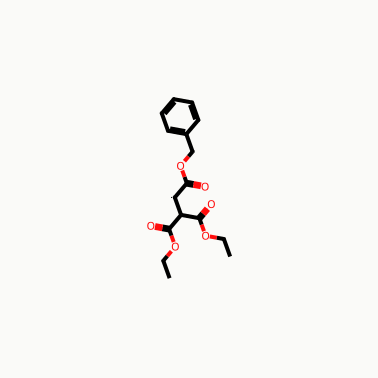 CCOC(=O)C([CH]C(=O)OCc1ccccc1)C(=O)OCC